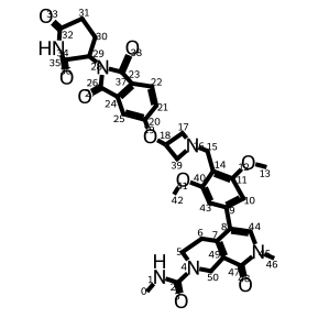 CNC(=O)N1CCc2c(-c3cc(OC)c(CN4CC(Oc5ccc6c(c5)C(=O)N(C5CCC(=O)NC5=O)C6=O)C4)c(OC)c3)cn(C)c(=O)c2C1